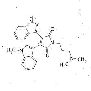 CN(C)CCCN1C(=O)C(c2c[nH]c3ccccc23)=C(c2cn(C)c3ccccc23)C1=O